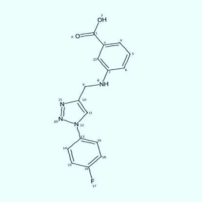 O=C(O)c1cccc(NCc2cn(-c3ccc(F)cc3)nn2)c1